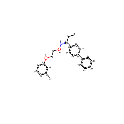 CCC(=NOCCOc1c[c]cc(C)c1)c1ccc(-c2ccccc2)cc1